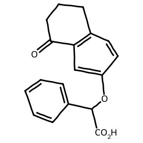 O=C1CCCc2ccc(OC(C(=O)O)c3ccccc3)cc21